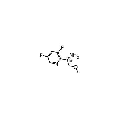 COC[C@H](N)c1ncc(F)cc1F